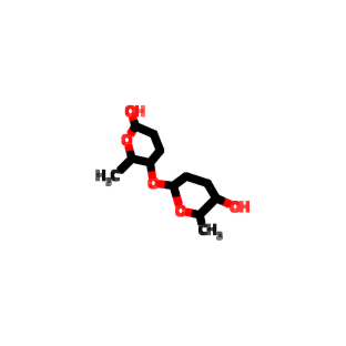 CC1OC(OC2CCC(O)OC2C)CCC1O